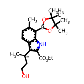 CCOC(=O)c1[nH]c2c(B3OC(C)(C)C(C)(C)O3)c(C)ccc2c1[C@H](C)CCO